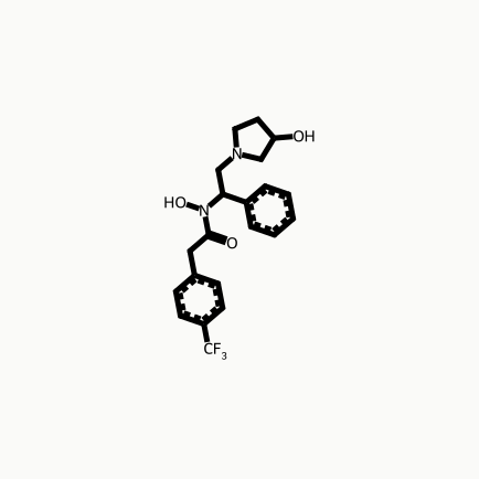 O=C(Cc1ccc(C(F)(F)F)cc1)N(O)C(CN1CCC(O)C1)c1ccccc1